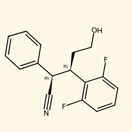 N#C[C@@H](c1ccccc1)[C@@H](CCO)c1c(F)cccc1F